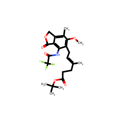 COc1c(C)c2c(c(NC(=O)C(F)(F)F)c1C/C=C(\C)CCC(=O)OC(C)(C)C)C(=O)OC2